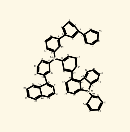 c1ccc(-c2cccc(-c3cccc(N(c4cccc(-c5cccc6ccccc56)c4)c4cccc(-c5cccc6c5c5ccccc5n6-c5ccccc5)c4)c3)c2)cc1